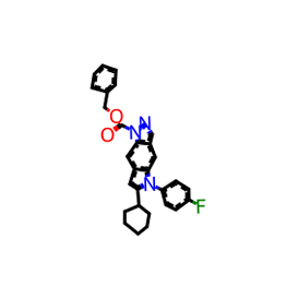 O=C(OCc1ccccc1)n1ncc2cc3c(cc(C4CCCCC4)n3-c3ccc(F)cc3)cc21